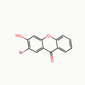 O=c1c2ccccc2oc2cc(O)c(Br)cc12